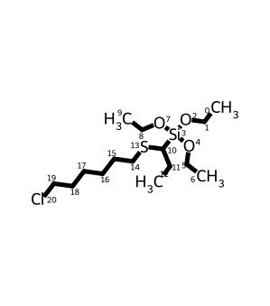 CCO[Si](OCC)(OCC)C(CC)SCCCCCCCl